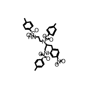 Cc1ccc(S(=O)(=O)NCCN(C(CNS(=O)(=O)c2ccc(C)cc2)Cc2ccc([N+](=O)[O-])cc2)S(=O)(=O)c2ccc(C)cc2)cc1